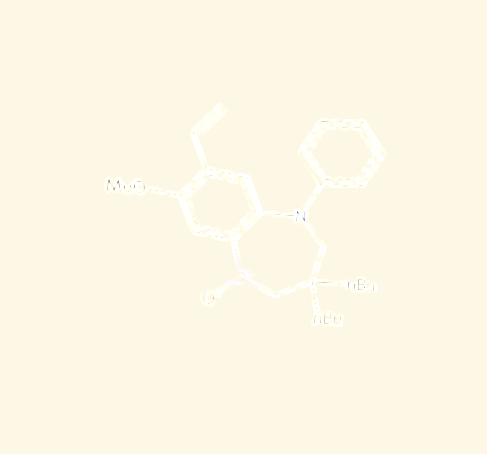 C=Cc1cc2c(cc1OC)[S+]([O-])CC(CCCC)(CCCC)CN2c1ccccc1